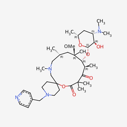 CO[C@]1(C)C[C@@H](C)CN(C)CC2(CCN(Cc3ccncc3)CC2)OC(=O)C(C)(C)C(=O)[C@H](C)[C@H]1O[C@@H]1O[C@H](C)C[C@H](N(C)C)[C@H]1O